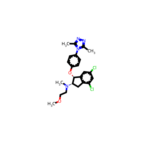 COCCN(C)[C@H]1Cc2c(Cl)cc(Cl)cc2[C@H]1Oc1ccc(-n2c(C)nnc2C)cc1